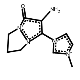 C[n+]1ccn(-c2c(N)c(=O)n3n2CCC3)c1